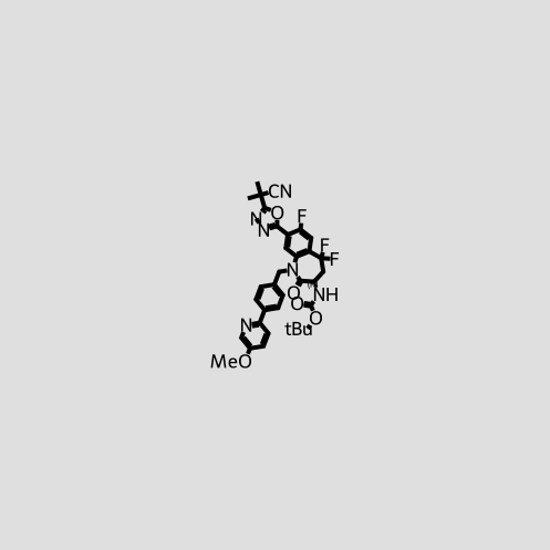 COc1ccc(-c2ccc(CN3C(=O)[C@H](NC(=O)OC(C)(C)C)CC(F)(F)c4cc(F)c(-c5nnc(C(C)(C)C#N)o5)cc43)cc2)nc1